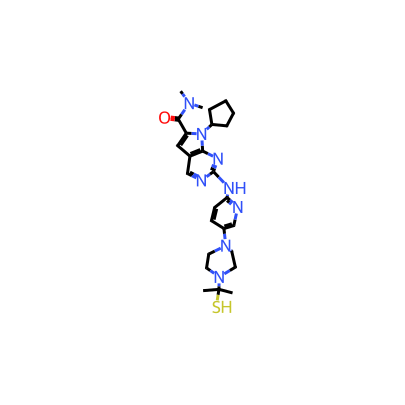 CN(C)C(=O)c1cc2cnc(Nc3ccc(N4CCN(C(C)(C)S)CC4)cn3)nc2n1C1CCCC1